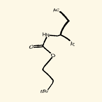 CC(=O)CC(NC(=O)OCCC(C)(C)C)C(C)=O